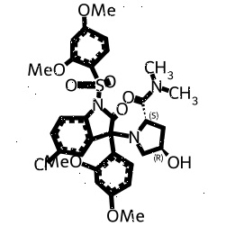 COc1ccc(C2(N3C[C@H](O)C[C@H]3C(=O)N(C)C)C(=O)N(S(=O)(=O)c3ccc(OC)cc3OC)c3ccc(Cl)cc32)c(OC)c1